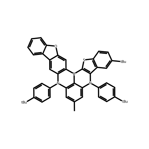 Cc1cc2c3c(c1)N(c1ccc(C(C)(C)C)cc1)c1c(sc4ccc(C(C)(C)C)cc14)B3c1cc3oc4ccccc4c3cc1N2c1ccc(C(C)(C)C)cc1